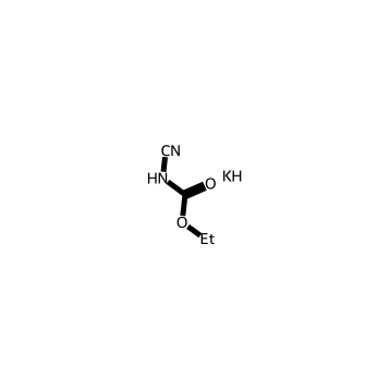 CCOC(=O)NC#N.[KH]